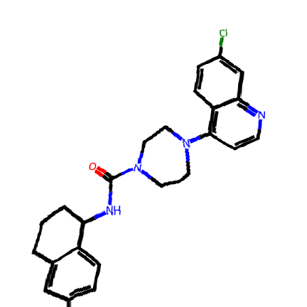 O=C(NC1CCCc2ccccc21)N1CCN(c2ccnc3cc(Cl)ccc23)CC1